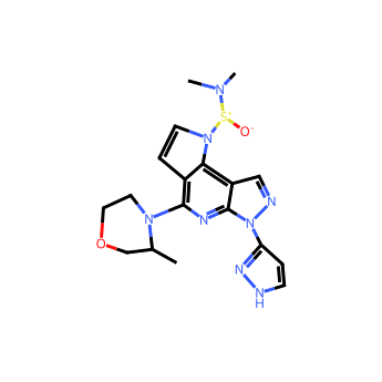 CC1COCCN1c1nc2c(cnn2-c2cc[nH]n2)c2c1ccn2[S+]([O-])N(C)C